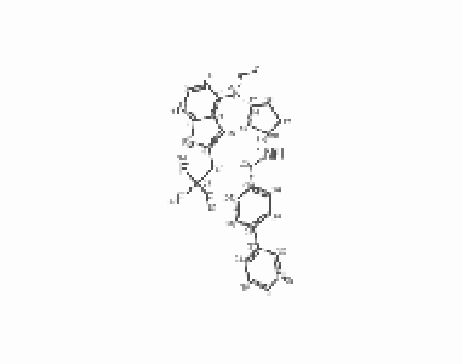 CCN(c1ncnc2sc(CC(F)(F)F)cc12)[C@@H]1CC[C@H](NCc2ccc(-c3cccnc3)cc2)C1